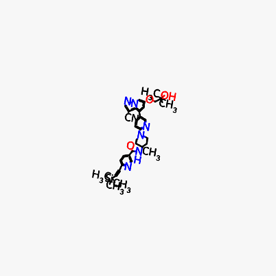 CC(C)(O)COc1cc(-c2ccc(N3CCC(C)(NC(=O)c4ccc(C#C[Si](C)(C)C)nc4)CC3)nc2)c2c(C#N)cnn2c1